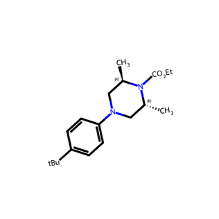 CCOC(=O)N1[C@H](C)CN(c2ccc(C(C)(C)C)cc2)C[C@H]1C